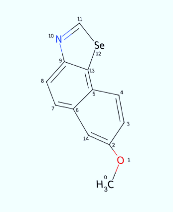 COc1ccc2c(ccc3nc[se]c32)c1